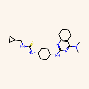 CN(C)c1nc(N[C@H]2CC[C@@H](NC(=S)NCC3CC3)CC2)nc2c1CCCC2